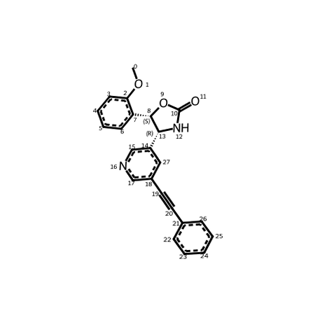 COc1ccccc1[C@@H]1OC(=O)N[C@@H]1c1cncc(C#Cc2ccccc2)c1